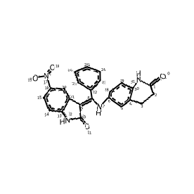 O=C1CCc2cc(N/C(=C3\C(=O)Nc4ccc([N+](=O)[O-])cc43)c3ccccc3)ccc2N1